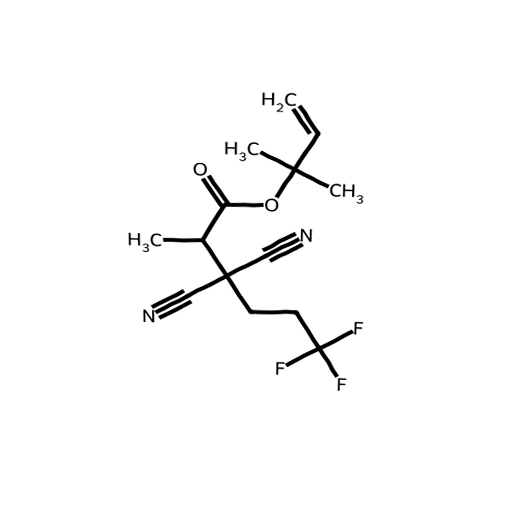 C=CC(C)(C)OC(=O)C(C)C(C#N)(C#N)CCC(F)(F)F